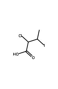 CC(I)C(Cl)C(=O)O